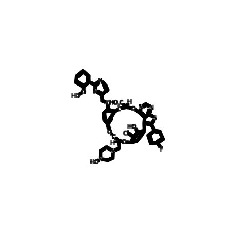 O=C(O)[C@H]1Cc2cc(ccc2OCc2ccnc(-c3ccccc3OO)n2)OC[C@@H](CN2CCN(O)CC2)Oc2ccc(c(O)c2Cl)-c2c(-c3ccc(F)cc3)sc3ncnc(c23)O1